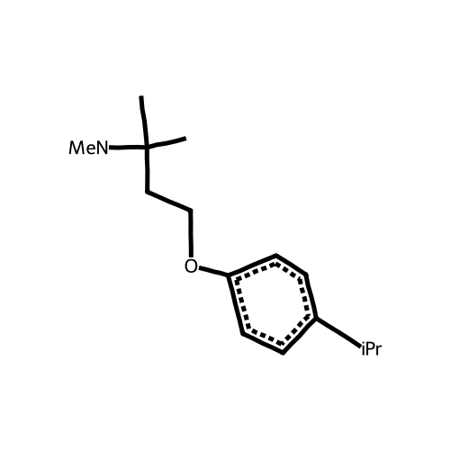 CNC(C)(C)CCOc1ccc(C(C)C)cc1